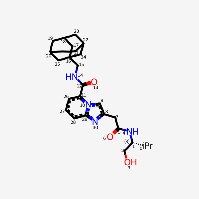 CC(C)[C@H](CO)NC(=O)Cc1cn2c(C(=O)NCC34CC5CC(CC(C5)C3)C4)cccc2n1